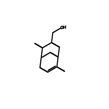 CC1=CCC2CC1CC(CO)C2C